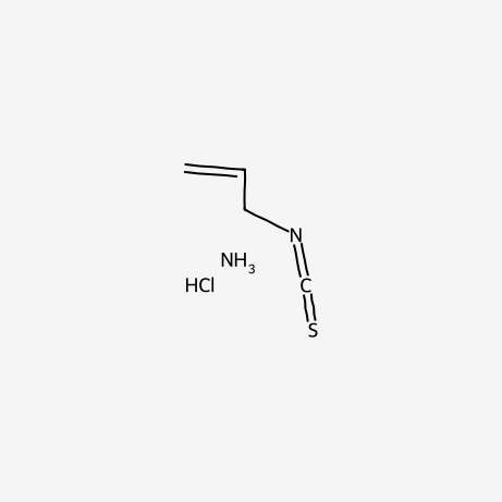 C=CCN=C=S.Cl.N